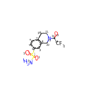 NS(=O)(=O)c1ccc2c(c1)CN(C(=O)C(F)(F)F)CC2